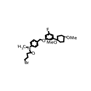 CO[C@H]1CC[C@](OC)(c2cc(F)cc(OCc3ccc(N(C)C(=O)CCCBr)cc3)c2)CC1